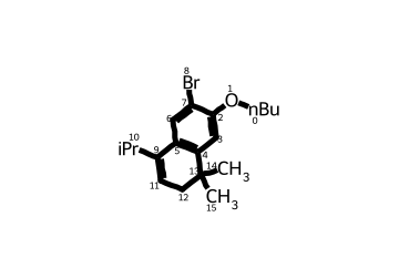 CCCCOc1cc2c(cc1Br)C(C(C)C)=CCC2(C)C